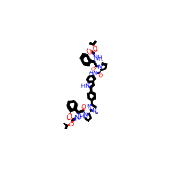 CC(C)OC(=O)NC(C(=O)N1CCC[C@H]1C(=O)Nc1ccc2[nH]c(-c3ccc(-c4cn(C)c([C@@H]5CCCN5C(=O)C(NC(=O)OC(C)C)c5ccccc5)n4)cc3)cc2c1)c1ccccc1